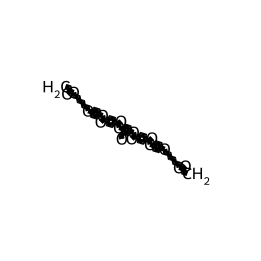 C=CC(=O)OCCCCCCOc1ccc(OC(=O)[C@H]2CC[C@H](C(=O)Oc3ccc(OC(=O)[C@H]4CC[C@@H](C(=O)Oc5ccc(OCCCCCCOC(=O)C=C)cc5)CC4)c(C=O)c3)CC2)cc1